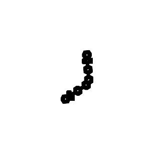 c1ccc2oc(-c3ccc(-c4ccc5ccc(-c6ccc(-c7nc8ccccc8o7)cc6)cc5c4)cc3)nc2c1